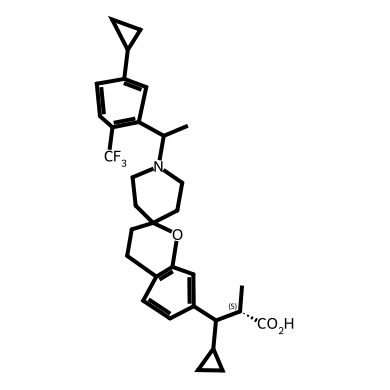 CC(c1cc(C2CC2)ccc1C(F)(F)F)N1CCC2(CCc3ccc(C(C4CC4)[C@H](C)C(=O)O)cc3O2)CC1